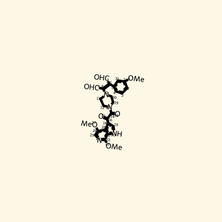 COc1cccc(/C(C=O)=C(/C=O)N2CCN(C(=O)C(=O)c3c[nH]c4c(OC)ncc(OC)c34)CC2)c1